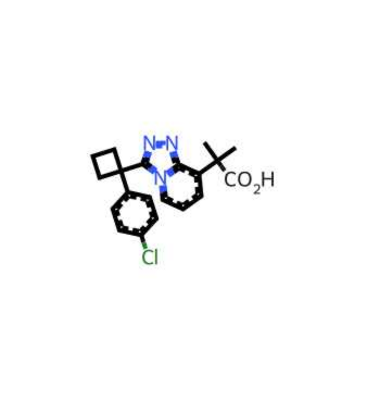 CC(C)(C(=O)O)c1cccn2c(C3(c4ccc(Cl)cc4)CCC3)nnc12